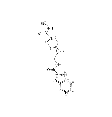 CC(C)(C)NC(=O)N1CCC2(CC1)CC2CNC(=O)c1cc2cnccc2[nH]1